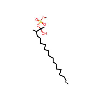 CCCCCCCCCCCCCCCCC(C)C(C)(O)OS(=O)(=O)OC